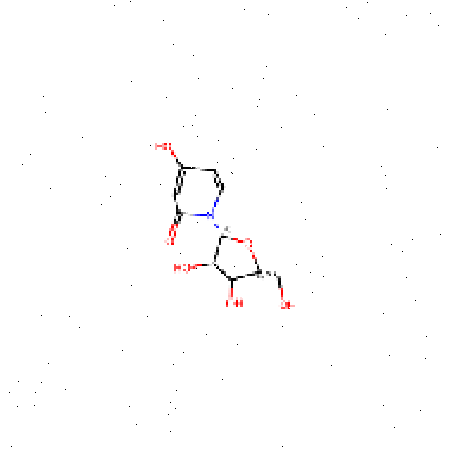 O=c1cc(O)ccn1[C@@H]1O[C@H](CO)C(O)C1O